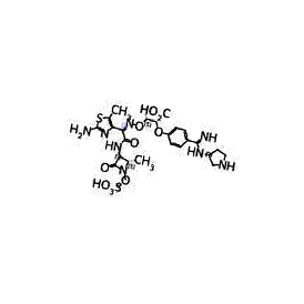 Cc1sc(N)nc1/C(=N/O[C@@H](COc1ccc(C(=N)N[C@@H]2CCNC2)cc1)C(=O)O)C(=O)N[C@@H]1C(=O)N(OS(=O)(=O)O)[C@H]1C